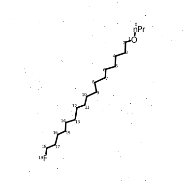 CCCOCCCCCCCCCCCCCCCCCF